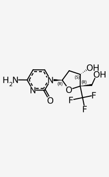 Nc1ccn([C@H]2C[C@H](O)[C@](CO)(C(F)(F)F)O2)c(=O)n1